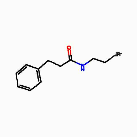 CC(C)CCNC(=O)CCc1ccccc1